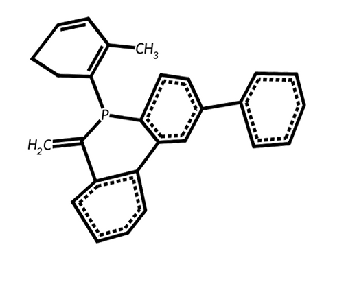 C=C1c2ccccc2-c2cc(-c3ccccc3)ccc2P1C1=C(C)C=CCC1